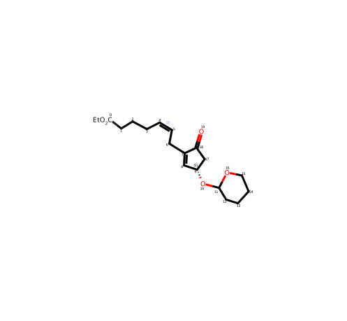 CCOC(=O)CCC/C=C\CC1=C[C@@H](OC2CCCCO2)CC1=O